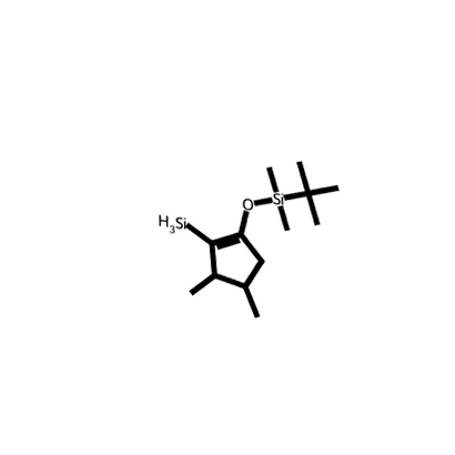 CC1CC(O[Si](C)(C)C(C)(C)C)=C([SiH3])C1C